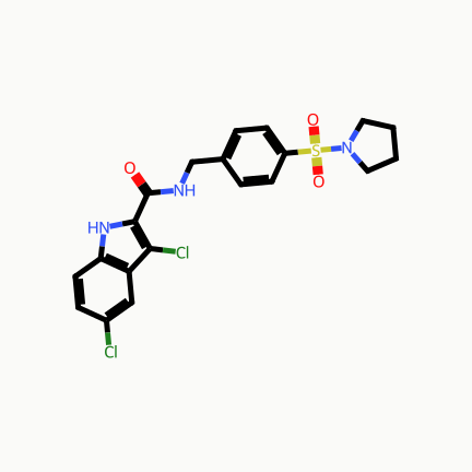 O=C(NCc1ccc(S(=O)(=O)N2CCCC2)cc1)c1[nH]c2ccc(Cl)cc2c1Cl